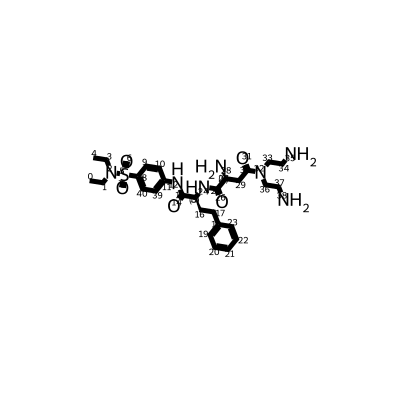 CCN(CC)S(=O)(=O)c1ccc(NC(=O)[C@H](CCc2ccccc2)NC(=O)[C@@H](N)CC(=O)N(CCN)CCN)cc1